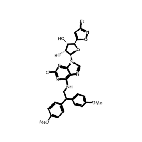 CCc1cc([C@H]2O[C@@H](n3cnc4c(NCC(c5ccc(OC)cc5)c5ccc(OC)cc5)nc(Cl)nc43)[C@H](O)[C@@H]2O)on1